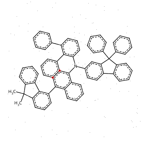 CC1(C)c2ccccc2-c2c(-c3ccc(N(c4ccc5c(c4)C(c4ccccc4)(c4ccccc4)c4ccccc4-5)c4cccc(-c5ccccc5)c4-c4ccccc4)c4ccccc34)cccc21